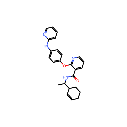 CC(NC(=O)c1cccnc1Oc1ccc(Nc2ccccn2)cc1)C1C=CCCC1